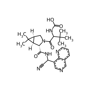 CC(C)(C)C(NC(=O)O)C(=O)N1C[C@H]2[C@@H]([C@H]1C(=O)NC(C#N)c1cncc3cccnc13)C2(C)C